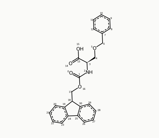 O=C(N[C@H](COCc1ccccc1)C(=O)O)OCC1c2ccccc2-c2ccccc21